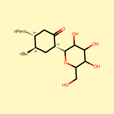 CCCCC[C@@H]1CC(=O)[C@H](C2OC(CO)C(O)C(O)C2O)C[C@H]1CCCC